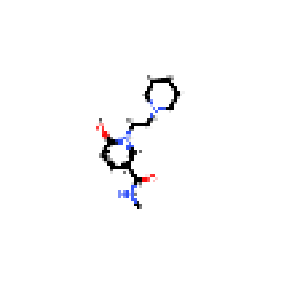 CNC(=O)c1ccc(=O)n(CCN2CCCCC2)c1